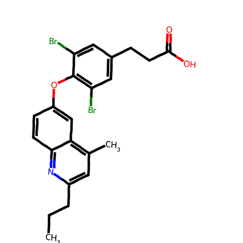 CCCc1cc(C)c2cc(Oc3c(Br)cc(CCC(=O)O)cc3Br)ccc2n1